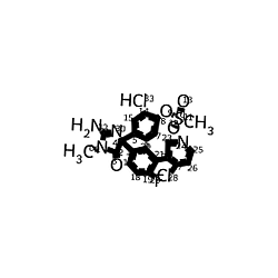 CN1C(=O)C(c2ccc(OS(C)(=O)=O)cc2)(c2ccc(F)c(-c3cnccc3Cl)c2)N=C1N.Cl